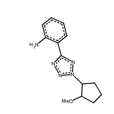 COC1CCCC1n1nnc(-c2ccccc2N)n1